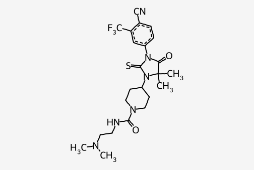 CN(C)CCNC(=O)N1CCC(N2C(=S)N(c3ccc(C#N)c(C(F)(F)F)c3)C(=O)C2(C)C)CC1